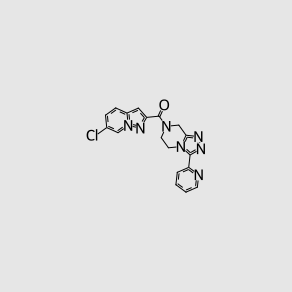 O=C(c1cc2ccc(Cl)cn2n1)N1CCn2c(nnc2-c2ccccn2)C1